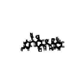 N#CC(c1ccc(F)cc1)c1cc(Cl)c(NC(=O)NC(=O)c2c(F)cccc2F)cc1Cl